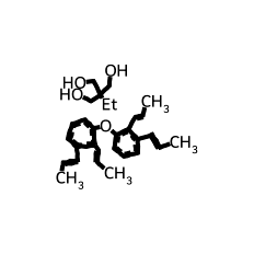 CC=Cc1cccc(Oc2cccc(C=CC)c2C=CC)c1C=CC.CCC(CO)(CO)CO